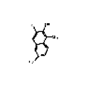 Cc1c(O)c(O)cc2c[n+](C)ccc12